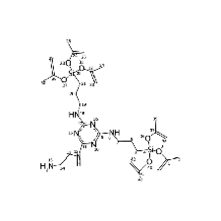 C=C(C)O[Si](CCCNc1nc(NCCN)nc(NCCC[Si](OC(=C)C)(OC(=C)C)OC(=C)C)n1)(OC(=C)C)OC(=C)C